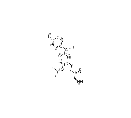 CC(C)OC(=O)[C@H](CCC(=O)C=N)NC(=O)[C@H](O)c1ccc(F)cn1